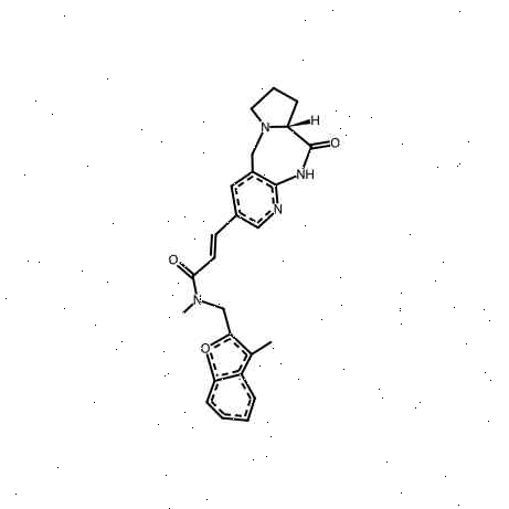 Cc1c(CN(C)C(=O)/C=C/c2cnc3c(c2)CN2CCC[C@@H]2C(=O)N3)oc2ccccc12